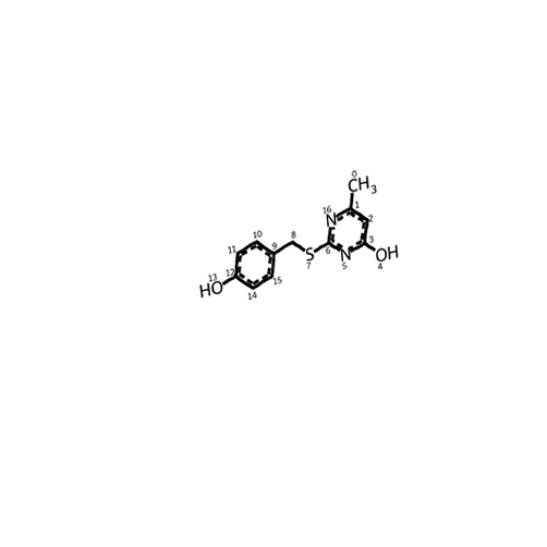 Cc1cc(O)nc(SCc2ccc(O)cc2)n1